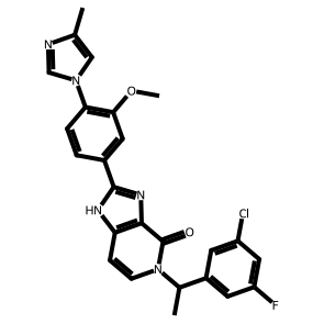 COc1cc(-c2nc3c(=O)n(C(C)c4cc(F)cc(Cl)c4)ccc3[nH]2)ccc1-n1cnc(C)c1